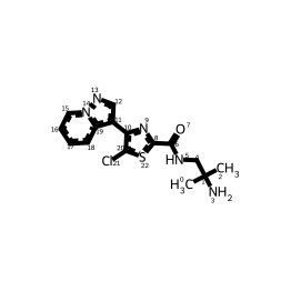 CC(C)(N)CNC(=O)c1nc(-c2cnn3ccccc23)c(Cl)s1